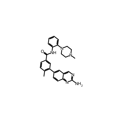 Cc1ccc(C(=O)Nc2ccccc2N2CCN(C)CC2)cc1-c1ccc2nc(N)ncc2c1